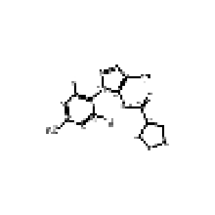 N#Cc1cnn(-c2c(Cl)cc(C(F)(F)F)cc2Cl)c1NC(=O)C1CCCC1